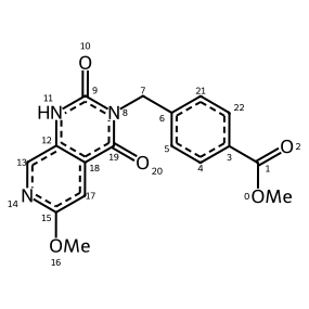 COC(=O)c1ccc(Cn2c(=O)[nH]c3cnc(OC)cc3c2=O)cc1